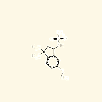 CCCCOc1ccc2c(c1)C(NS(C)(=O)=O)CC2(C)C